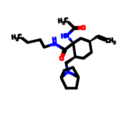 C=C[C@@H]1CC[C@@H](CN2C3CCC2CC3)[C@@](NC(C)=O)(C(=O)NCCCC)C1